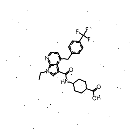 CCn1cc(C(=O)NC2CCC(C(=O)O)CC2)c2c(Cc3ccc(C(F)(F)F)cc3)ccnc21